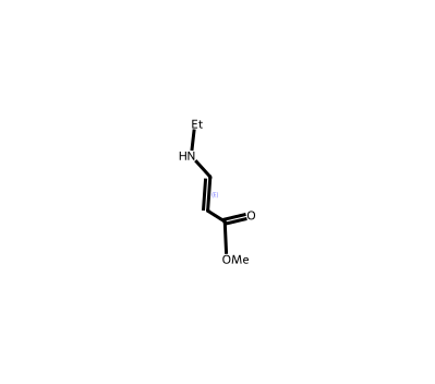 CCN/C=C/C(=O)OC